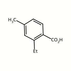 CCc1cc(C)ccc1C(=O)O